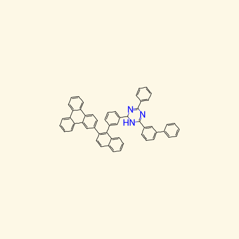 c1ccc(C2=NC(c3cccc(-c4c(-c5ccc6c7ccccc7c7ccccc7c6c5)ccc5ccccc45)c3)NC(c3cccc(-c4ccccc4)c3)=N2)cc1